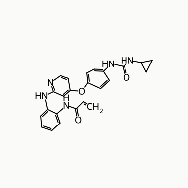 C=CC(=O)Nc1ccccc1Nc1cc(Oc2ccc(NC(=O)NC3CC3)cc2)ccn1